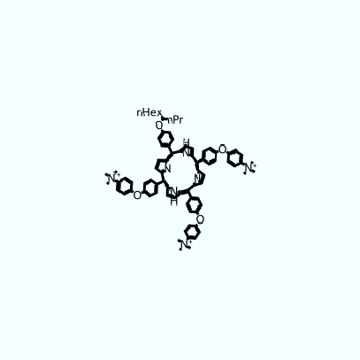 CCCCCCC(CCC)Oc1ccc(-c2c3nc(c(-c4ccc(Oc5ccc([N+](C)(C)C)cc5)cc4)c4ccc([nH]4)c(-c4ccc(Oc5ccc([N+](C)(C)C)cc5)cc4)c4nc(c(-c5ccc(Oc6ccc([N+](C)(C)C)cc6)cc5)c5ccc2[nH]5)C=C4)C=C3)cc1